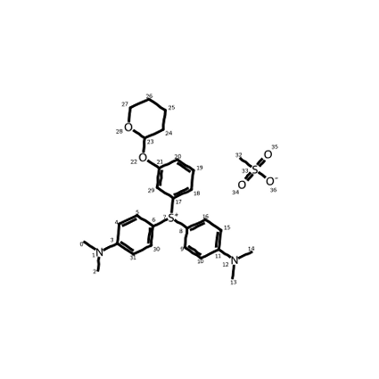 CN(C)c1ccc([S+](c2ccc(N(C)C)cc2)c2cccc(OC3CCCCO3)c2)cc1.CS(=O)(=O)[O-]